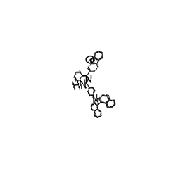 C1=CC2=C(C3=Cc4oc5ccccc5c4CC3)N=C(c3ccc(-n4c5ccc6ccccc6c5c5c6ccccc6ccc54)cc3)NC2C=C1